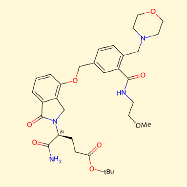 COCCNC(=O)c1cc(COc2cccc3c2CN([C@@H](CCC(=O)OC(C)(C)C)C(N)=O)C3=O)ccc1CN1CCOCC1